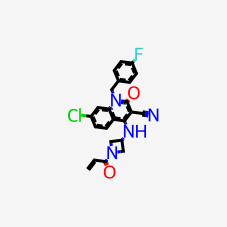 C=CC(=O)N1CC(Nc2c(C#N)c(=O)n(Cc3ccc(F)cc3)c3cc(Cl)ccc23)C1